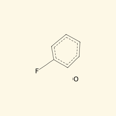 Fc1ccccc1.[O]